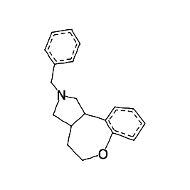 c1ccc(CN2CC3CCOc4ccccc4C3C2)cc1